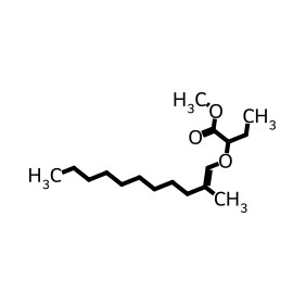 CCCCCCCCCC(C)=COC(CC)C(=O)OC